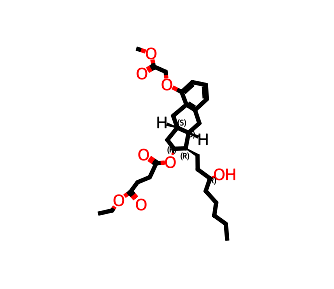 CCCCC[C@@H](O)CC[C@@H]1[C@H]2Cc3cccc(OCC(=O)OC)c3C[C@H]2C[C@H]1OC(=O)CCC(=O)OCC